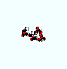 CCOc1ccc(C(=C=Nc2ccc(COc3ccc(C(=C=Nc4ccc(COc5ccc(C(=C=Nc6ccc(COc7ccc(C(=C=Nc8ccc(Cl)cc8)c8ccccc8)cc7)cc6)c6ccccc6)cc5)cc4)c4ccccc4)cc3)cc2)c2ccccc2)cc1